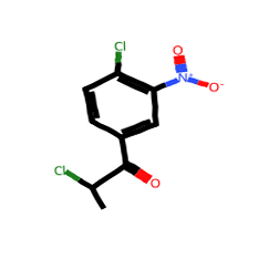 CC(Cl)C(=O)c1ccc(Cl)c([N+](=O)[O-])c1